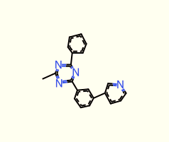 Cc1nc(-c2ccccc2)nc(-c2cccc(-c3cccnc3)c2)n1